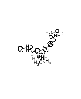 CC(C)NC(=O)OC12CCC(c3ncc(-c4ccc(NC(=O)NCc5ccccn5)cc4S(=O)(=O)NC(C)(C)C)s3)(CC1)CC2